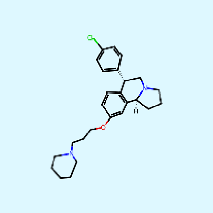 Clc1ccc([C@@H]2CN3CCC[C@H]3c3cc(OCCCN4CCCCC4)ccc32)cc1